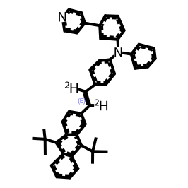 [2H]/C(=C(/[2H])c1ccc2c(C(C)(C)C)c3ccccc3c(C(C)(C)C)c2c1)c1ccc(N(c2ccccc2)c2cccc(-c3ccncc3)c2)cc1